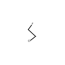 FC[C]Cl